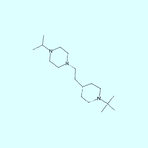 CC(C)N1CCN(CCC2CCN(C(C)(C)C)CC2)CC1